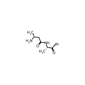 CC(C)C(=O)[C@H](C)NC(=O)C[C@H](C)N